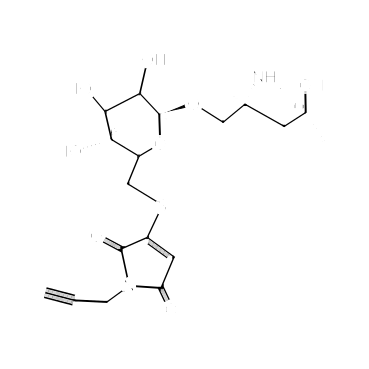 C#CCN1C(=O)C=C(SCC2O[C@H](OC[C@H](N)C[C@@H](C)O)C(O)C(O)[C@H]2O)C1=O